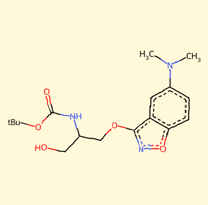 CN(C)c1ccc2onc(OCC(CO)NC(=O)OC(C)(C)C)c2c1